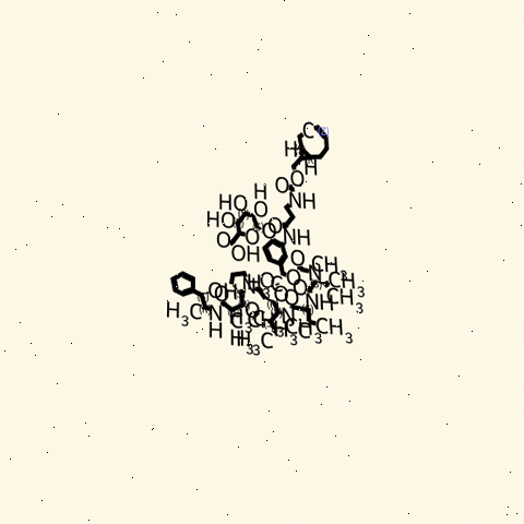 CC[C@H](C)[C@@H]([C@@H](CC(=O)N1CCC[C@H]1[C@H](OC)[C@@H](C)C(=O)N[C@H](C)[C@@H](O)c1ccccc1)OC)N(C)C(=O)[C@@H](NC(=O)[C@H](C(C)C)N(C)C(=O)OCc1ccc(O[C@@H]2OC(C(=O)O)[C@@H](O)[C@H](O)C2O)c(NC(=O)CCNC(=O)OCC2[C@H]3CC/C=C\CC[C@@H]23)c1)C(C)C